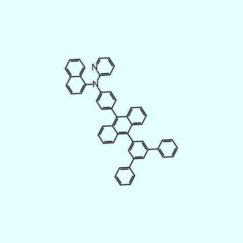 c1ccc(-c2cc(-c3ccccc3)cc(-c3c4ccccc4c(-c4ccc(N(c5ccccn5)c5cccc6ccccc56)cc4)c4ccccc34)c2)cc1